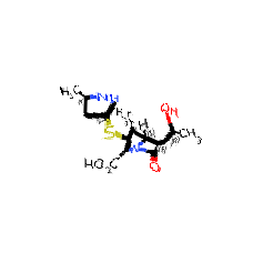 C[C@@H]1C[C@H](SC2=C(C(=O)O)N3C(=O)[C@H]([C@@H](C)O)[C@H]3[C@H]2C)CN1